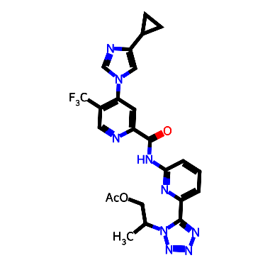 CC(=O)OCC(C)n1nnnc1-c1cccc(NC(=O)c2cc(-n3cnc(C4CC4)c3)c(C(F)(F)F)cn2)n1